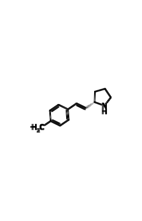 [CH2]c1ccc(/C=C/[C@@H]2CCCN2)cc1